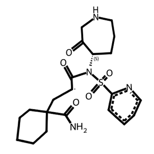 NC(=O)C1(C[CH]C(=O)N([C@H]2CCCNCC2=O)S(=O)(=O)c2ccccn2)CCCCC1